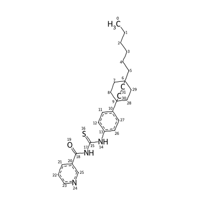 CCCCCCC12CCC(c3ccc(NC(=S)NC(=O)c4cccnc4)cc3)(CC1)CC2